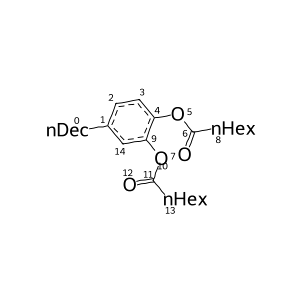 CCCCCCCCCCc1ccc(OC(=O)CCCCCC)c(OC(=O)CCCCCC)c1